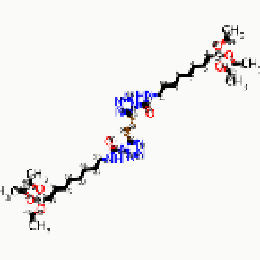 CCO[Si](CCCCCCCCNC(=O)n1nnnc1SSc1nnnn1C(=O)NCCCCCCCC[Si](OCC)(OCC)OCC)(OCC)OCC